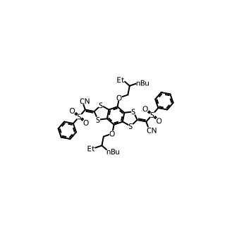 CCCCC(CC)COc1c2c(c(OCC(CC)CCCC)c3c1SC(=C(C#N)S(=O)(=O)c1ccccc1)S3)SC(=C(C#N)S(=O)(=O)c1ccccc1)S2